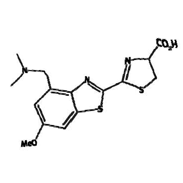 COc1cc(CN(C)C)c2nc(C3=NC(C(=O)O)CS3)sc2c1